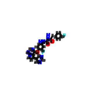 O=C(Cc1ccc(F)cc1)NC(=O)Nc1ccc(Oc2ncnn3ccc(-c4cncnc4)c23)c(F)c1